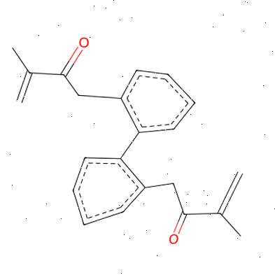 C=C(C)C(=O)Cc1ccccc1-c1ccccc1CC(=O)C(=C)C